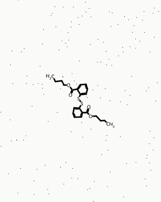 CCCCOC(=O)c1ccccc1SSc1ccccc1C(=O)OCCCC